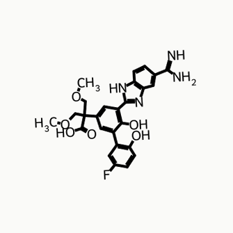 COCC(COC)(C(=O)O)c1cc(-c2nc3cc(C(=N)N)ccc3[nH]2)c(O)c(-c2cc(F)ccc2O)c1